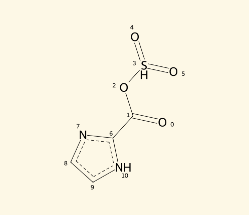 O=C(O[SH](=O)=O)c1ncc[nH]1